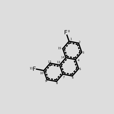 Fc1[c]cc2ccc3c[c]c(F)cc3c2c1